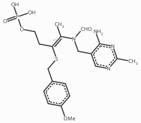 COc1ccc(CS/C(CCOP(=O)(O)O)=C(/C)N(C=O)Cc2cnc(C)nc2N)cc1